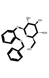 OC[C@H]1S[C@@H](Oc2ccccc2OCc2ccccc2)[C@H](O)[C@@H](O)[C@@H]1O